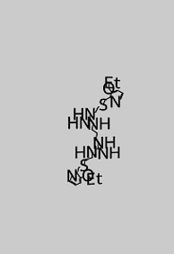 CCOc1cccnc1CSCCNC(=N)NCCCNC(=N)NCCSCc1ncccc1OCC